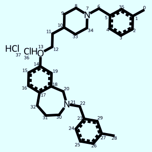 Cc1cccc(CN2CCC(CCOc3ccc4c(c3)CN(Cc3cccc(C)c3)CCC4)CC2)c1.Cl.Cl